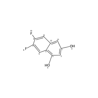 Oc1cc(O)c2cc(F)c(F)cc2c1